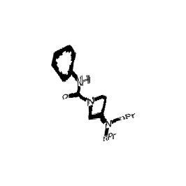 CCCN(CCC)C1CN(C(=O)Nc2ccccc2)C1